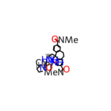 CNC(=O)c1ccc2c(c1)CCc1cc(C(=O)NC)ccc1C2(C[C@@H](C)NCC(=O)N1CCC[C@H]1C#N)C(=N)NC(C)C